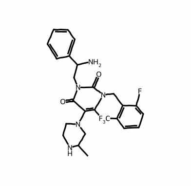 Cc1c(N2CCNC(C)C2)c(=O)n(CC(N)c2ccccc2)c(=O)n1Cc1c(F)cccc1C(F)(F)F